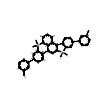 Cc1cccc(-c2ccc3c(c2)[Si](C)(C)c2cc4c5c(cccc5c2-3)[Si](C)(C)c2cc(-c3cccc(C)c3)ccc2-4)c1